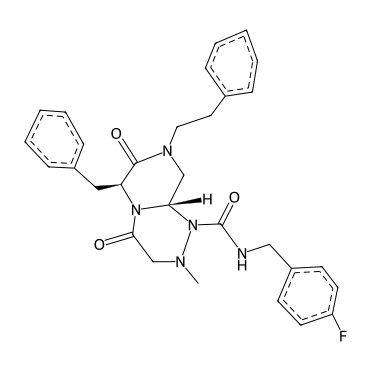 CN1CC(=O)N2[C@@H](Cc3ccccc3)C(=O)N(CCc3ccccc3)C[C@@H]2N1C(=O)NCc1ccc(F)cc1